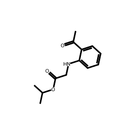 CC(=O)c1ccccc1NCC(=O)OC(C)C